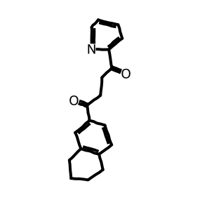 O=C(CCC(=O)c1ccccn1)c1ccc2c(c1)CCCC2